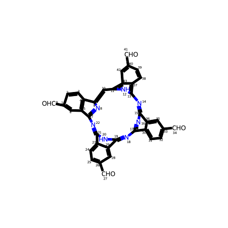 O=Cc1ccc2c(c1)-c1nc-2cc2[nH]c(nc3nc(nc4[nH]c(n1)c1ccc(C=O)cc41)-c1ccc(C=O)cc1-3)c1ccc(C=O)cc21